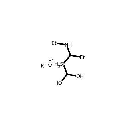 CCNC(CC)[SiH2]C(O)O.[K+].[OH-]